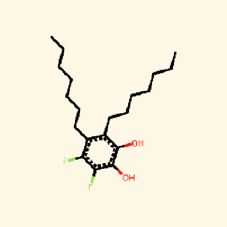 CCCCCCCc1c(O)c(O)c(F)c(F)c1CCCCCCC